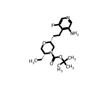 CC[C@@H]1CO[C@H](CCc2c(N)cncc2F)CN1C(=O)OC(C)(C)C